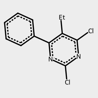 CCc1c(Cl)nc(Cl)nc1-c1ccccc1